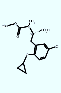 CN(C(=O)OC(C)(C)C)[C@@H](Cc1cc(Cl)ccc1OC1CC1)C(=O)O